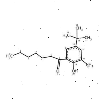 CCCCCCC(=O)c1cc(C(C)(C)C)cc(N)c1O